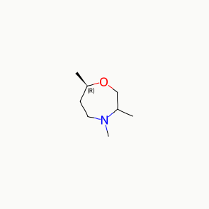 CC1CO[C@H](C)CCN1C